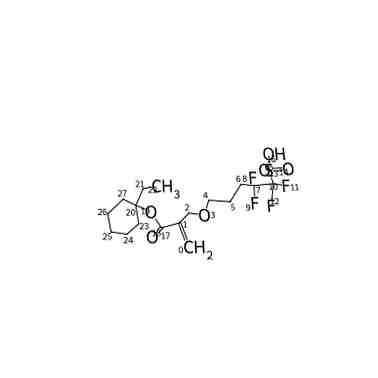 C=C(COCCCC(F)(F)C(F)(F)S(=O)(=O)O)C(=O)OC1(CC)CCCCC1